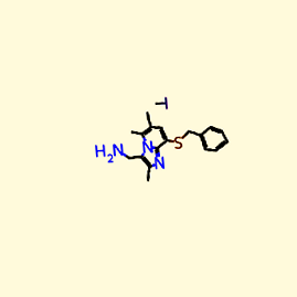 CI.Cc1cc(SCc2ccccc2)c2nc(C)c(CN)n2c1C